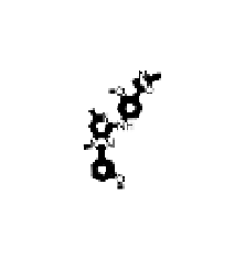 COc1cccc(-c2nc3c(Nc4ccc(-c5cnc(C)o5)c(OC)c4)nc(C)cc3n2C)c1